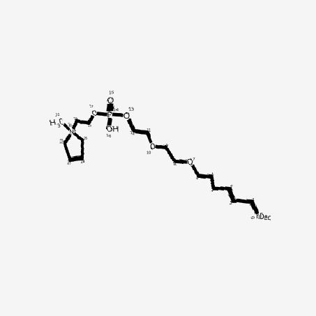 CCCCCCCCCCCCCCCCOCCOCCOP(=O)(O)OCC[N+]1(C)CCCC1